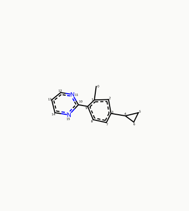 Cc1cc(C2CC2)ccc1-c1ncccn1